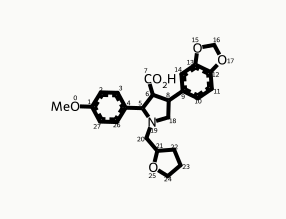 COc1ccc(C2C(C(=O)O)C(c3ccc4c(c3)OCO4)CN2CC2CCCO2)cc1